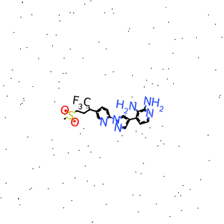 CS(=O)(=O)CCC(c1ccc(-n2cc(-c3ccnc(N)c3N)cn2)nc1)C(F)(F)F